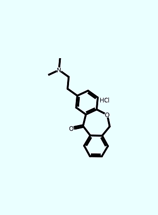 CN(C)CCc1ccc2c(c1)C(=O)c1ccccc1CO2.Cl